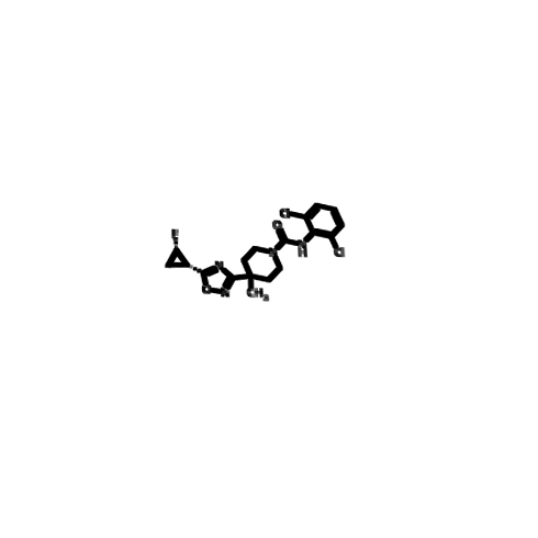 CC1(c2noc([C@@H]3C[C@@H]3F)n2)CCN(C(=O)Nc2c(Cl)cccc2Cl)CC1